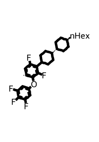 CCCCCC[C@H]1CC[C@H](C2CCC(c3c(F)c[c]c(Oc4cc(F)c(F)c(F)c4)c3F)CC2)CC1